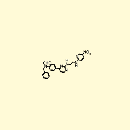 O=CN(Cc1ccccc1)c1ccc(-c2ccnc(NCCNc3ccc([N+](=O)[O-])cn3)n2)cc1